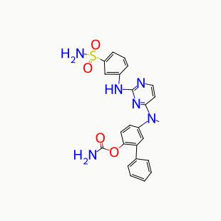 CN(c1ccc(OC(N)=O)c(-c2ccccc2)c1)c1ccnc(Nc2cccc(S(N)(=O)=O)c2)n1